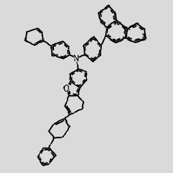 C1=CC(c2ccc(N(c3ccc(-c4cc5ccccc5c5ccccc45)cc3)c3ccc4c5c(oc4c3)C=C(C3=CCC(c4ccccc4)CC3)CC5)cc2)=CCC1